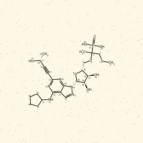 COCC(C)(OC[C@H]1O[C@@H](n2ncc3c(NC4CCCC4)nc(C#C[C@@H](C)O)nc32)[C@H](O)[C@@H]1O)P(=O)(O)O